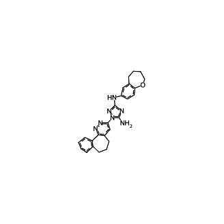 Nc1nc(Nc2ccc3c(c2)CCCCO3)nn1-c1cc2c(nn1)-c1ccccc1CCC2